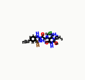 CCCCc1ccc(NN(N)C(=O)CN(CCl)c2c(N)n(C)c(=O)[nH]c2=O)c(S)c1